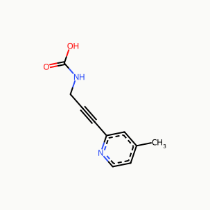 Cc1ccnc(C#CCNC(=O)O)c1